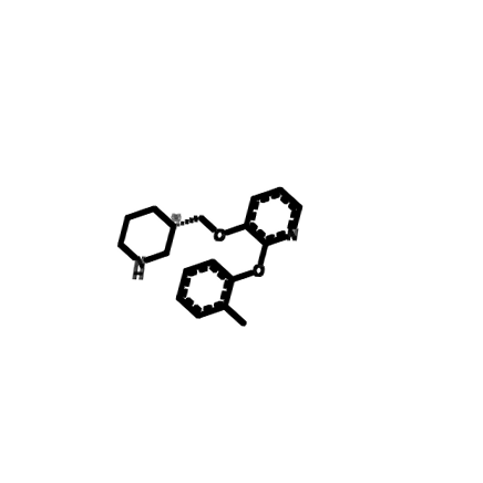 Cc1ccccc1Oc1ncccc1OC[C@H]1CCCNC1